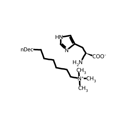 CCCCCCCCCCCCCCCC[N+](C)(C)C.N[C@@H](Cc1c[nH]cn1)C(=O)[O-]